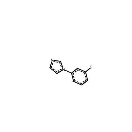 Fc1c[c][c]c(-n2ccnc2)c1